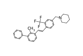 Cc1c(/C=C/c2ccc(CN3CCCCC3)cc2C(F)(F)F)cccc1-c1ccccc1